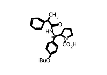 CC(C)COc1ccc([C@@H](NC(=O)C(C)c2ccccc2)C2CCCN2C(=O)O)cc1